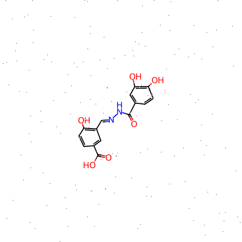 O=C(O)c1ccc(O)c(C=NNC(=O)c2ccc(O)c(O)c2)c1